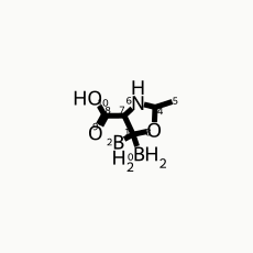 BC1(B)OC(C)NC1C(=O)O